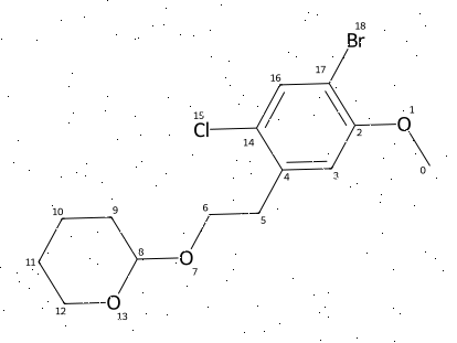 COc1cc(CCOC2CCCCO2)c(Cl)cc1Br